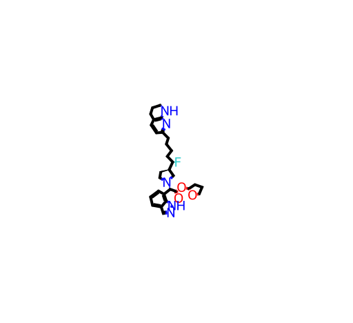 O=C(OC1CCCO1)[C@H](c1cccc2cn[nH]c12)N1CC[C@@H]([C@@H](F)CCCCc2ccc3c(n2)NCCC3)C1